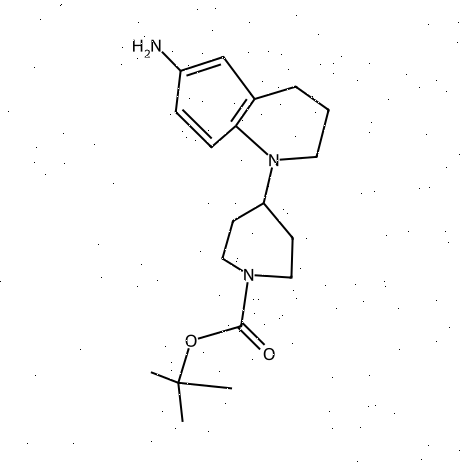 CC(C)(C)OC(=O)N1CCC(N2CCCc3cc(N)ccc32)CC1